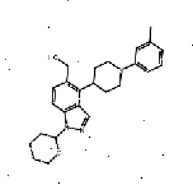 Cc1cccc(N2CCC(c3c(CO)ccc4c3cnn4C3CCCCO3)CC2)c1